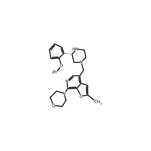 Cc1cc2c(CN3CCN[C@@H](c4ccccc4OC(C)C)C3)cnc(N3CCOCC3)c2o1